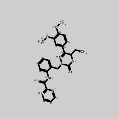 CCC1SC(=O)N(Cc2ccccc2NC(=O)c2ncccn2)N=C1c1ccc(OC)c(OC)c1